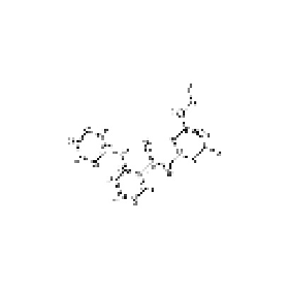 CCCC(CC(=O)OCC)OC(=O)c1ccccc1Cc1ccccc1